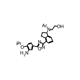 CC(=O)N(CCO)[C@@H]1CCc2c(-c3noc(-c4ccc(OC(C)C)c(N)c4)n3)cccc21